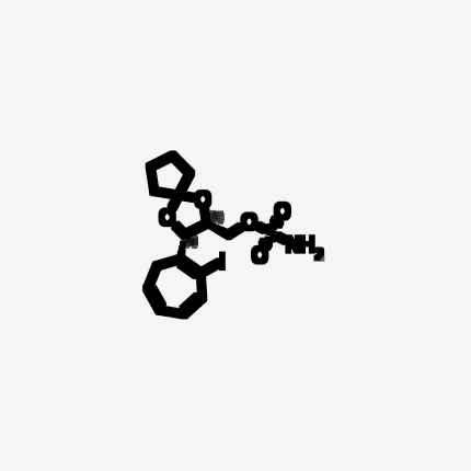 NS(=O)(=O)OC[C@@H]1OC2(CCCC2)O[C@H]1C1=C(I)C=CC=CC1